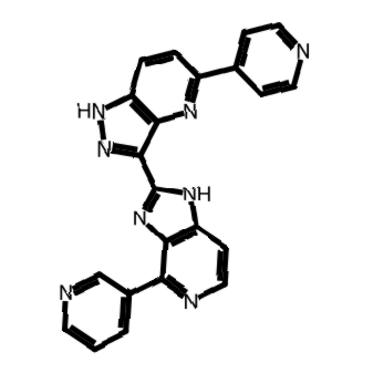 c1cncc(-c2nccc3[nH]c(-c4n[nH]c5ccc(-c6ccncc6)nc45)nc23)c1